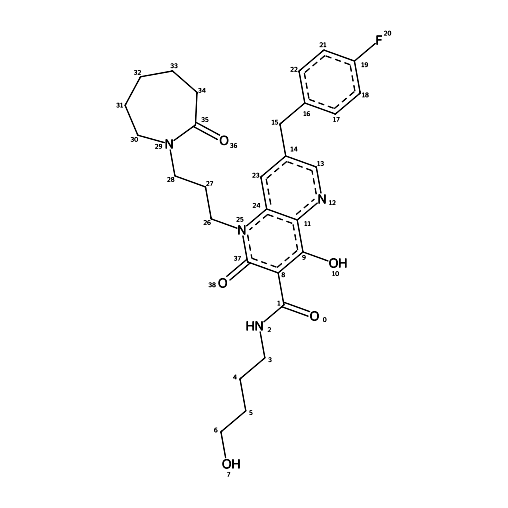 O=C(NCCCCO)c1c(O)c2ncc(Cc3ccc(F)cc3)cc2n(CCCN2CCCCCC2=O)c1=O